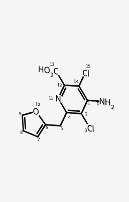 Nc1c(Cl)c(Cc2ccco2)nc(C(=O)O)c1Cl